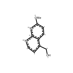 COc1ccc2c(CO)ccnc2n1